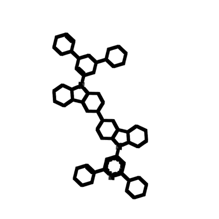 C1=CC(C2C=C(N3C4CCCCC4C4CC(C5CCC6C(C5)C5CCCCC5N6c5cc(C6=CCCCC6)nc(C6CCCCC6)c5)CCC43)CC(C3CCCCC3)C2)CCC1